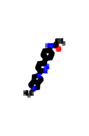 CC(=O)Nc1ccc(-c2ccc(N3CC4CN(C)CC4C3)nn2)cc1